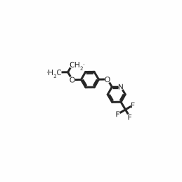 [CH2]C([CH2])Oc1ccc(Oc2ccc(C(F)(F)F)cn2)cc1